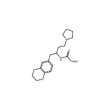 CCCCCCCC(=O)NC(CCN1CCCC1)Cc1ccc2c(c1)OCCO2